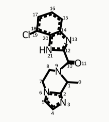 CC1c2nccn2CCN1C(=O)c1nc2cccc(Cl)c2[nH]1